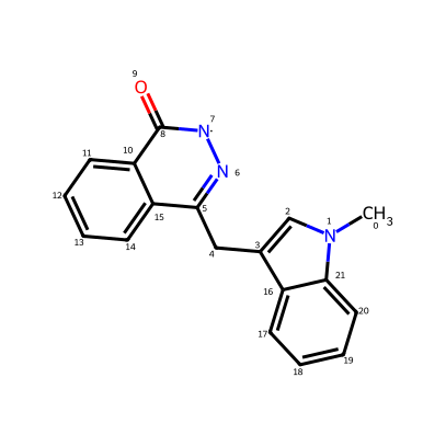 Cn1cc(CC2=N[N]C(=O)c3ccccc32)c2ccccc21